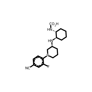 N#Cc1ccc(N2CCC[C@H](N[C@@H]3CCCC[C@H]3NC(=O)O)C2)c(F)c1